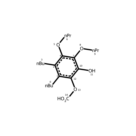 CCCCc1c(CCCC)c(OCCC)c(OCCC)c(O)c1OC(=O)O